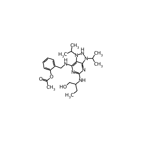 CCC(CO)Nc1nc(NCc2ccccc2OC(C)=O)c2c(n1)N(C(C)C)NN2C(C)C